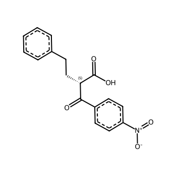 O=C(O)[C@@H](CCc1ccccc1)C(=O)c1ccc([N+](=O)[O-])cc1